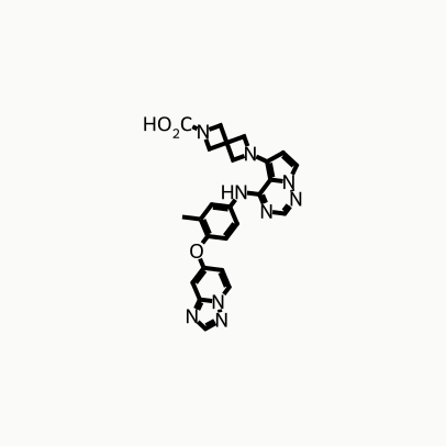 Cc1cc(Nc2ncnn3ccc(N4CC5(CN(C(=O)O)C5)C4)c23)ccc1Oc1ccn2ncnc2c1